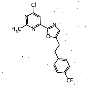 Cc1nc(Cl)cc(-c2ncc(CCc3ccc(C(F)(F)F)cc3)o2)n1